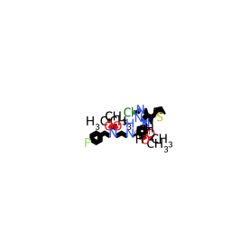 CC(C)(C)OC(=O)N(CCCNC[C@H]1C[C@@H](n2cc(-c3cccs3)c3cnc(Cl)nc32)[C@@H]2OC(C)(C)O[C@H]12)CCc1ccc(F)cc1